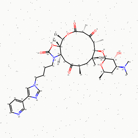 CC[C@H]1OC(=O)[C@H](C)C(=O)[C@H](C)[C@@H](OC2O[C@H](C)C[C@H](N(C)C)[C@H]2O)[C@@](C)(OC)C[C@@H](C)C(=O)C[C@H]2N(CCCCn3cnc(-c4cccnc4)c3)C(=O)O[C@]12C(C)=O